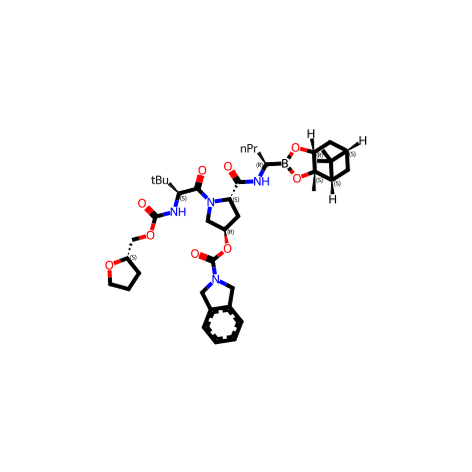 CCC[C@H](NC(=O)[C@@H]1C[C@@H](OC(=O)N2Cc3ccccc3C2)CN1C(=O)[C@@H](NC(=O)OC[C@@H]1CCCO1)C(C)(C)C)B1O[C@@H]2C[C@@H]3C[C@@H](C3(C)C)[C@]2(C)O1